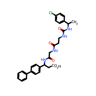 CC(NC(=O)NCCC(=O)NCC(=O)NC(CC(=O)O)c1ccc(-c2ccccc2)cc1)c1ccc(Cl)cc1